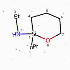 CCC[Si]1(NCC)CCCCO1